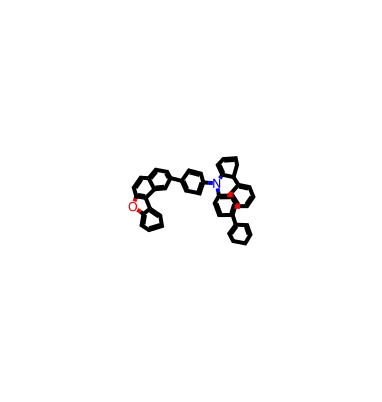 C1=CCC(c2ccccc2)C(N(c2ccc(C3=CCCC=C3)cc2)c2ccc(-c3ccc4ccc5oc6ccccc6c5c4c3)cc2)=C1